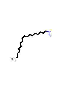 CCCCCCCC/C=C\CCCCCCCC[NH2+][S-]